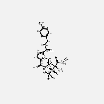 CC(C)(C(=O)NO)S(=O)(=O)C1(CN2CCn3c(cnc3C(=O)NCc3ccc(Cl)cc3)C2=O)CC1